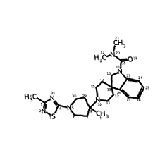 Cc1nsc(N2CCC(C)(N3CCC4(CC3)CN(C(=O)N(C)C)c3ccccc34)CC2)n1